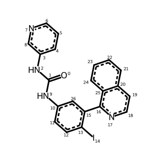 O=C(Nc1cccnc1)Nc1ccc(I)c(-c2nccc3ccccc23)c1